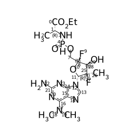 CCOC(=O)[C@@H](C)N[PH](=O)OC[C@@]1(F)O[C@@H](n2cnc3c(N(C)C)nc(N)nc32)[C@](C)(F)[C@@H]1O